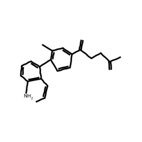 C=C(C)CCC(=C)c1ccc(-c2cccc(N)c2/C=C\C)c(C)c1